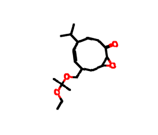 CCOC(C)(C)OCC1/C=C\C(C(C)C)CCC(=O)C2OC2C1